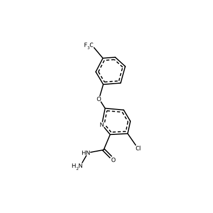 NNC(=O)c1nc(Oc2cccc(C(F)(F)F)c2)ccc1Cl